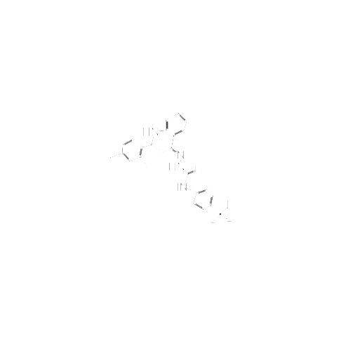 Cc1ccc(C2CC(=NNC(=O)Nc3ccc(C(F)(F)F)cc3)c3ccccc3N2)c(C)c1